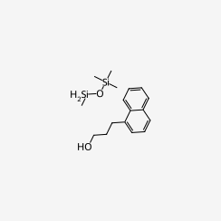 C[SiH2]O[Si](C)(C)C.OCCCc1cccc2ccccc12